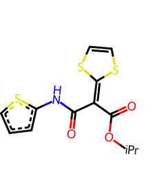 CC(C)OC(=O)C(C(=O)Nc1cccs1)=C1SC=CS1